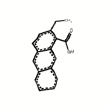 CCc1ccc2cc3ccccc3cc2c1C(=O)O